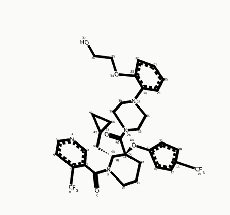 O=C(c1cnccc1C(F)(F)F)N1CCC[C@@](Oc2ccc(C(F)(F)F)cc2)(C(=O)N2CCN(c3ccccc3OCCO)CC2)[C@H]1CC1CC1